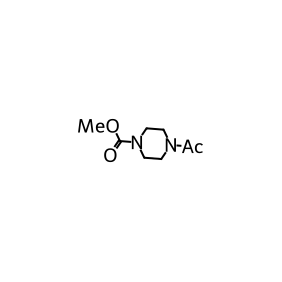 COC(=O)N1CCN(C(C)=O)CC1